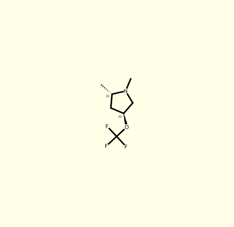 C[C@H]1C[C@H](OC(F)(F)F)CN1C